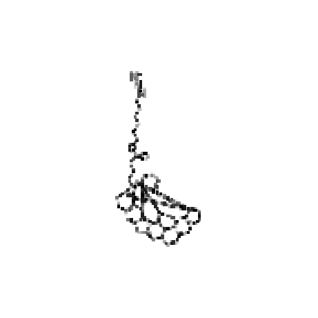 [N-]=[N+]=NCCCCCCOC(=O)CCCC1(c2ccccc2)C23C=Cc4cc5c6c7c8c9c%10c%11c(cc%12c%10c(c%10c9c6c4C%1021)C(=C3)C%12)C=CC(C=C7C5)C%118